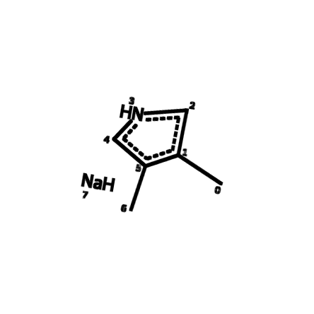 Cc1c[nH]cc1C.[NaH]